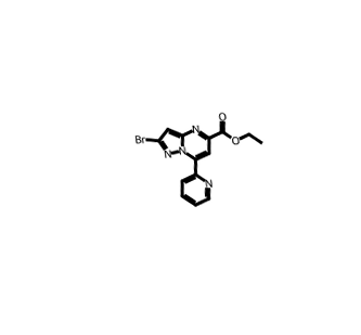 CCOC(=O)c1cc(-c2ccccn2)n2nc(Br)cc2n1